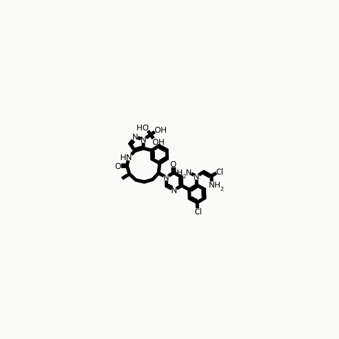 CC1CCCC(n2cnc(-c3cc(Cl)ccc3N(N)/C=C(\N)Cl)cc2=O)c2cccc(c2)-c2c(cnn2C(O)(O)O)NC1=O